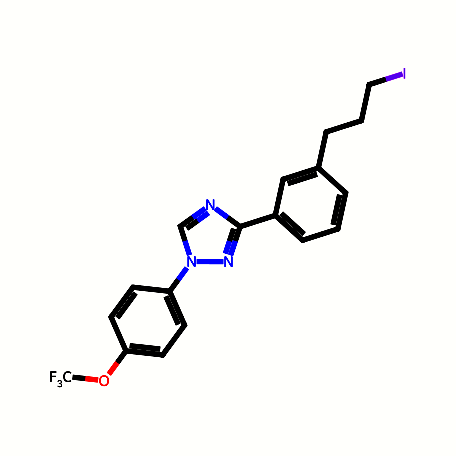 FC(F)(F)Oc1ccc(-n2cnc(-c3cccc(CCCI)c3)n2)cc1